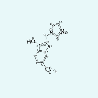 O[C@H]1c2ccc(C(F)(F)F)cc2S[C@H]1Cn1ccnc1